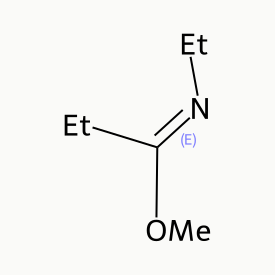 CC/N=C(\CC)OC